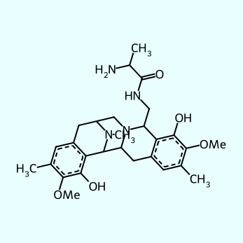 COc1c(C)cc2c(c1O)C1C3Cc4cc(C)c(OC)c(O)c4C(CNC(=O)C(C)N)N3CC(C2)N1C